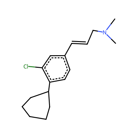 CN(C)CC=Cc1ccc(C2CCCCC2)c(Cl)c1